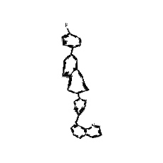 Fc1ccc(-c2ccc3cc(-c4ccc(-c5cccc6cccnc56)cc4)ccc3c2)cc1